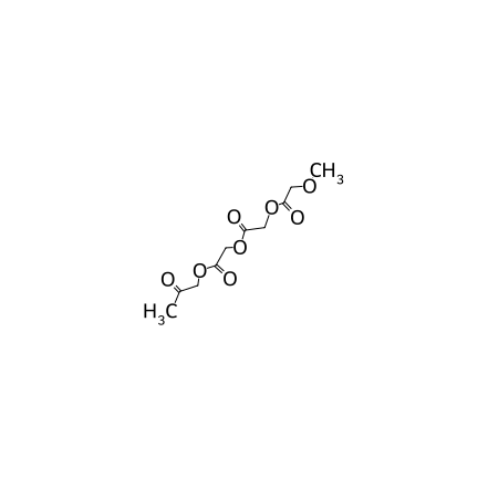 COCC(=O)OCC(=O)OCC(=O)OCC(C)=O